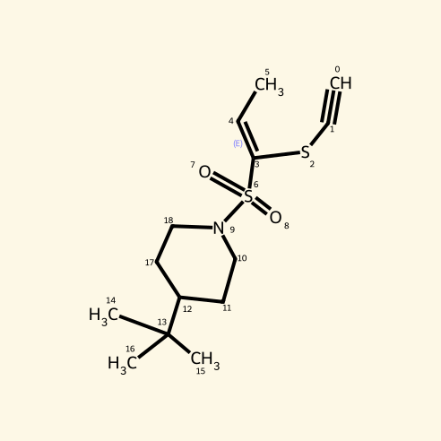 C#CS/C(=C\C)S(=O)(=O)N1CCC(C(C)(C)C)CC1